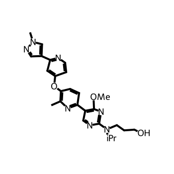 COc1nc(N(CCCO)C(C)C)ncc1-c1ccc(Oc2ccnc(-c3cnn(C)c3)c2)c(C)n1